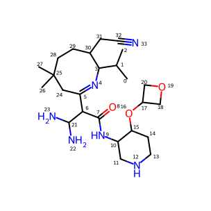 CC(C)C1/N=C(/C(C(=O)NC2CNCCC2OC2COC2)C(N)N)CC(C)(C)CCC1CC#N